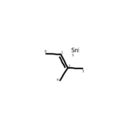 CC=C(C)C.[Sn]